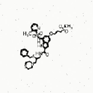 Cc1cccnc1S(=O)(=O)Nc1cc(OCCCS(C)(=O)=O)cc2cc(C(=O)NCC(CN3CCSCC3)SCc3ccccc3)[nH]c12